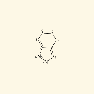 C1=CCC2=CN=NC2=C1